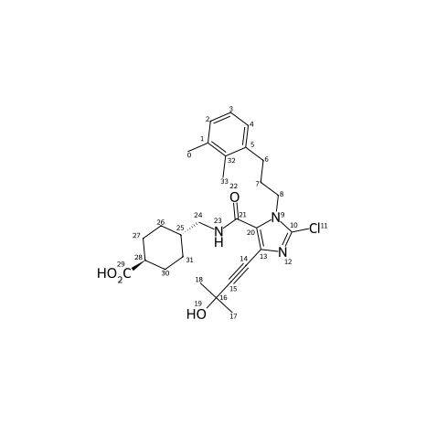 Cc1cccc(CCCn2c(Cl)nc(C#CC(C)(C)O)c2C(=O)NC[C@H]2CC[C@H](C(=O)O)CC2)c1C